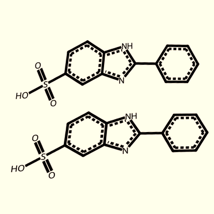 O=S(=O)(O)c1ccc2[nH]c(-c3ccccc3)nc2c1.O=S(=O)(O)c1ccc2[nH]c(-c3ccccc3)nc2c1